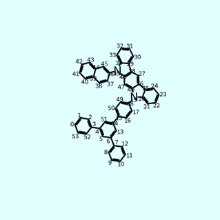 c1ccc(-c2cc(-c3ccccc3)cc(-c3ccc(-n4c5ccccc5c5cc6c7ccccc7n(-c7ccc8ccccc8c7)c6cc54)cc3)c2)cc1